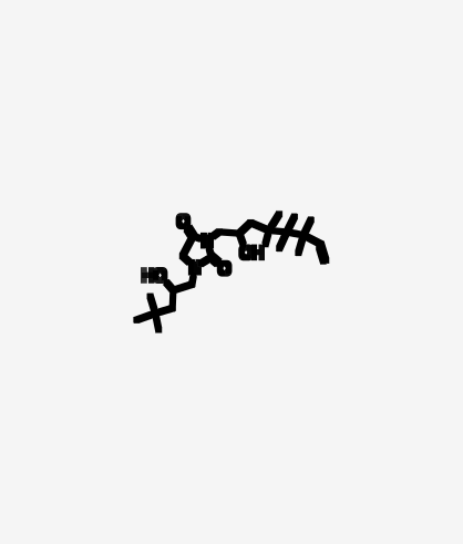 C=CC(C)(C)C(C)(C)C(C)(C)CC(O)CN1C(=O)CN(CC(O)CC(C)(C)C)C1=O